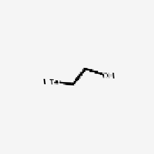 OCC[TeH]